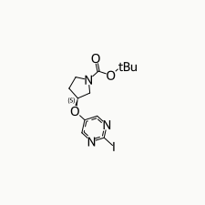 CC(C)(C)OC(=O)N1CC[C@H](Oc2cnc(I)nc2)C1